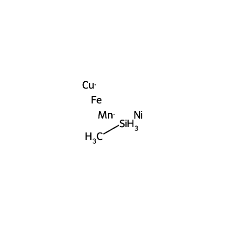 C[SiH3].[Cu].[Fe].[Mn].[Ni]